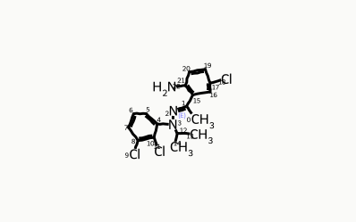 C/C(=N\N(c1cccc(Cl)c1Cl)C(C)C)c1cc(Cl)ccc1N